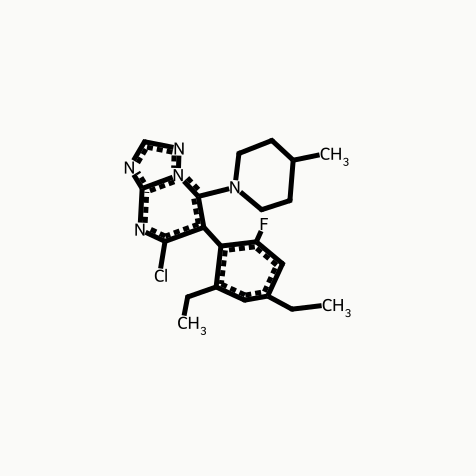 CCc1cc(F)c(-c2c(Cl)nc3ncnn3c2N2CCC(C)CC2)c(CC)c1